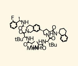 CN[C@@H](C)C(=O)N[C@H](C(=O)N1Cc2cc([C@H]3C[C@@H](C(=O)N[C@@H]4CCCc5ccccc54)N(C(=O)[C@@H](NC(=O)[C@H](C)NC)C(C)(C)C)C3)ccc2C[C@H]1C(=O)N[C@H](C)c1ccccc1F)C(C)(C)C